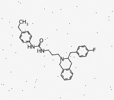 CCc1ccc(NC(=O)NCCCN2Cc3ccccc3CC2Cc2ccc(F)cc2)cc1